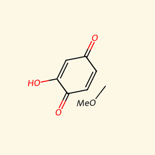 COC.O=C1C=CC(=O)C(O)=C1